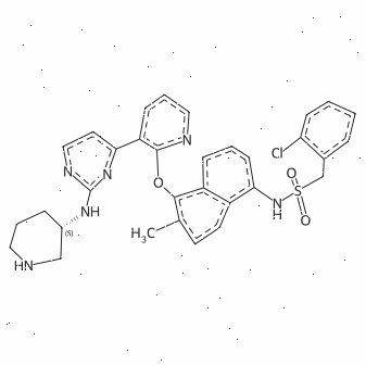 Cc1ccc2c(NS(=O)(=O)Cc3ccccc3Cl)cccc2c1Oc1ncccc1-c1ccnc(N[C@H]2CCCNC2)n1